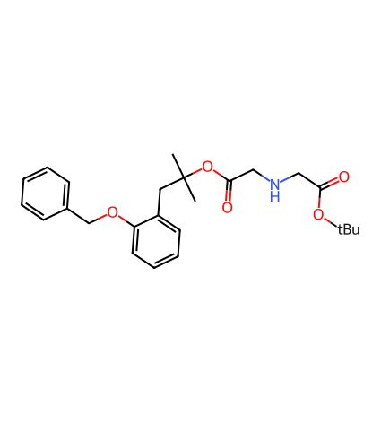 CC(C)(C)OC(=O)CNCC(=O)OC(C)(C)Cc1ccccc1OCc1ccccc1